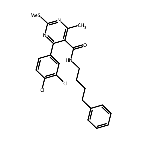 CSc1nc(C)c(C(=O)NCCCCc2ccccc2)c(-c2ccc(Cl)c(Cl)c2)n1